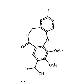 CCC(O)c1cc2c(c(OC)c1OC)Oc1ccc(C)cc1COC2=O